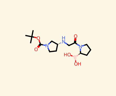 CC(C)(C)OC(=O)N1CC[C@@H](NCC(=O)N2CCC[C@H]2B(O)O)C1